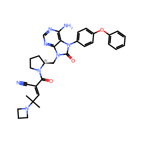 CC(C)(C=C(C#N)C(=O)N1CCC[C@H]1Cn1c(=O)n(-c2ccc(Oc3ccccc3)cc2)c2c(N)ncnc21)N1CCC1